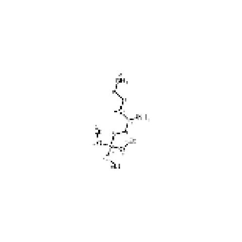 CCO[Si](CCC(N)NCCN)(OCC)OCC